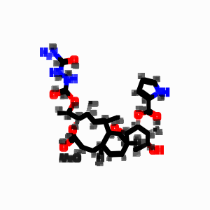 CO[C@H]1C[C@H]2C=C[C@@H]3C[C@]2(O[C@H]3[C@H](OC(=O)c2ccc[nH]2)[C@H](C)[C@H](C)O)/C(C)=C/[C@@H](C)[C@@H]([C@@H](C)OC(=O)NNC(N)=O)OC1=O